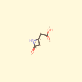 O=C(O)CC1CC(=O)N1